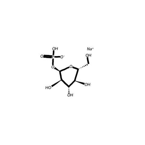 O=P([O-])(O)O[C@H]1O[C@H](CO)[C@@H](O)[C@H](O)[C@H]1O.[Na+]